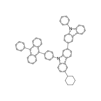 c1ccc(-c2c3ccccc3c(-c3ccc(-n4c5ccc(C6CCCCC6)cc5c5ccc(-c6ccc7c(c6)c6ccccc6n7-c6ccccc6)cc54)cc3)c3ccccc23)cc1